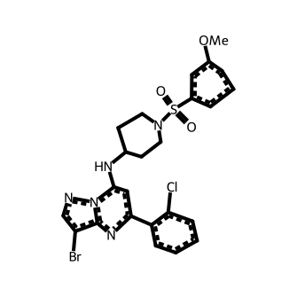 COc1cccc(S(=O)(=O)N2CCC(Nc3cc(-c4ccccc4Cl)nc4c(Br)cnn34)CC2)c1